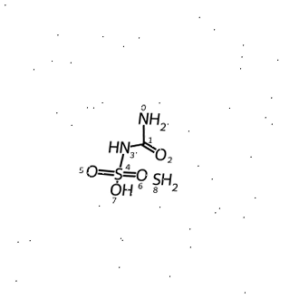 NC(=O)NS(=O)(=O)O.S